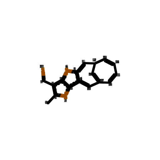 Cc1sc2c3c(sc2c1C=S)=CC1C=CC=CC(=C1)C=3